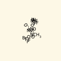 CC1Cc2c(n3ncc(Cc4ccccc4)c3n(-c3ccc(-n4nnnc4C(F)(F)F)cc3)c2=O)CN1C(=O)c1ccc(Br)c(C(F)(F)F)c1